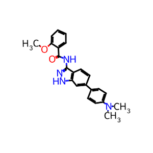 COc1ccccc1C(=O)Nc1n[nH]c2cc(-c3ccc(N(C)C)cc3)ccc12